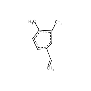 C=Cc1ccc(C)c(C)c1